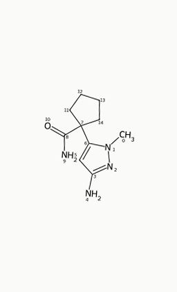 Cn1nc(N)cc1C1(C(N)=O)CCCC1